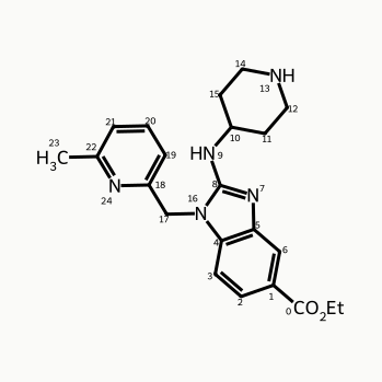 CCOC(=O)c1ccc2c(c1)nc(NC1CCNCC1)n2Cc1cccc(C)n1